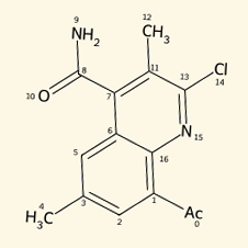 CC(=O)c1cc(C)cc2c(C(N)=O)c(C)c(Cl)nc12